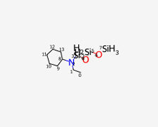 CCN([SiH2]O[SiH2]O[SiH3])C1CCCCC1